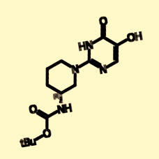 CC(C)(C)OC(=O)N[C@@H]1CCCN(c2ncc(O)c(=O)[nH]2)C1